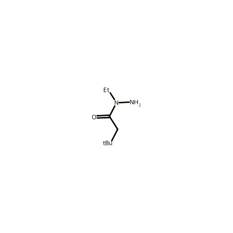 CCN(N)C(=O)CC(C)(C)C